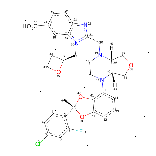 C[C@]1(c2ccc(Cl)cc2F)Oc2cccc(N3CCN(Cc4nc5ccc(C(=O)O)cc5n4C[C@@H]4CCO4)[C@@H]4COC[C@@H]43)c2O1